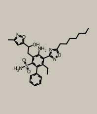 CCCCCCCc1nc(-c2c(N)c(CC(O)c3cc(C)no3)c(S(N)(=O)=O)c(-c3ccccc3)c2CC)no1